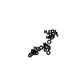 CC(C)(C)OC(=O)N[C@H](CF)[C@H]1CC[C@H](C(=O)N2CC[C@@H](C3CCCCC3)[C@H]2C(=O)Nc2ccc3oc(C(=O)NS(=O)(=O)N4CCOCC4)cc3c2)CC1